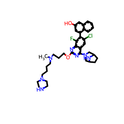 CN(CCCCN1CCNCC1)CCCOc1nc(N2CC3CCC(C2)N3)c2cc(Cl)c(-c3cc(O)cc4ccccc34)c(F)c2n1